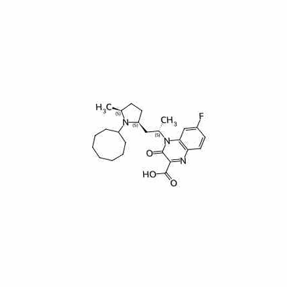 C[C@H]1CC[C@@H](C[C@H](C)n2c(=O)c(C(=O)O)nc3ccc(F)cc32)N1C1CCCCCCC1